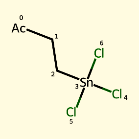 CC(=O)C[CH2][Sn]([Cl])([Cl])[Cl]